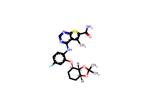 Cc1c(C(N)=O)sc2ncnc(Nc3ccc(F)cc3O[C@@H]3CCC[C@H]4OC(C)(C)O[C@@H]34)c12